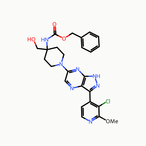 COc1nccc(-c2n[nH]c3nc(N4CCC(CO)(NC(=O)OCc5ccccc5)CC4)cnc23)c1Cl